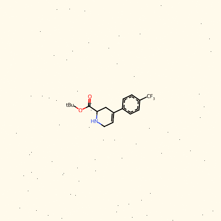 CC(C)(C)OC(=O)C1CC(c2ccc(C(F)(F)F)cc2)=CCN1